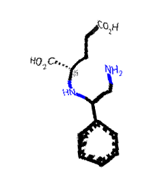 NCC(N[C@@H](CCC(=O)O)C(=O)O)c1ccccc1